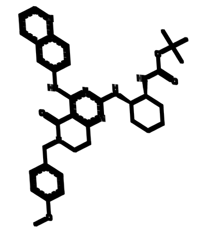 COc1ccc(CN2CCc3nc(N[C@@H]4CCCC[C@@H]4NC(=O)OC(C)(C)C)nc(Nc4ccc5ncccc5c4)c3C2=O)cc1